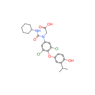 CC(C)c1cc(Oc2c(Cl)cc(N(CC(=O)O)C(=O)NC3CCCCC3)cc2Cl)ccc1O